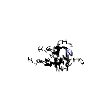 Cc1c(/C=N\N(C=O)Cc2ccn[nH]2)c2sc(Cc3ccn(C)n3)nc2n1C